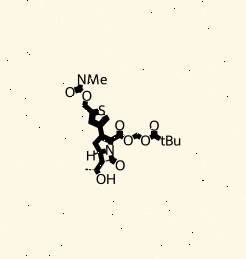 CNC(=O)OCc1cc(C2=C(C(=O)OCOC(=O)C(C)(C)C)N3C(=O)[C@H]([C@@H](C)O)[C@H]3C2)cs1